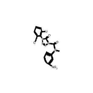 CN(C(=O)n1nnn(-c2c(Cl)cccc2Cl)c1=O)c1cccc([N+](=O)[O-])c1